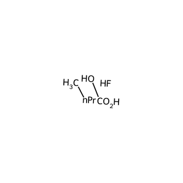 CCCC.F.O=C(O)O